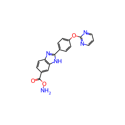 NOC(=O)c1ccc2nc(-c3ccc(Oc4ncccn4)cc3)[nH]c2c1